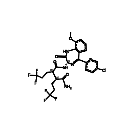 COc1cccc2c1NC(=O)[C@@H](NC(=O)[C@H](CCC(F)(F)F)[C@H](CCC(F)(F)F)C(N)=O)N=C2c1ccc(Cl)cn1